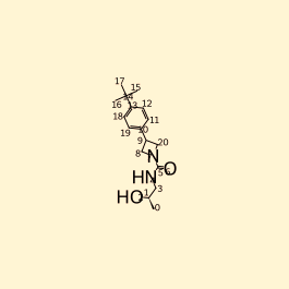 C[C@@H](O)CNC(=O)N1CC(c2ccc(C(C)(C)C)cc2)C1